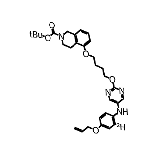 [2H]c1cc(OCC=C)ccc1Nc1cnc(OCCCCOc2cccc3c2CCN(C(=O)OC(C)(C)C)C3)nc1